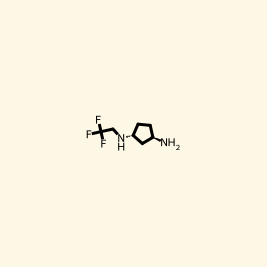 N[C@@H]1CC[C@@H](NCC(F)(F)F)C1